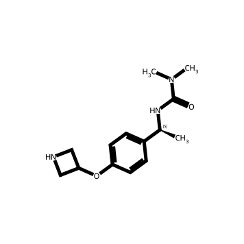 C[C@H](NC(=O)N(C)C)c1ccc(OC2CNC2)cc1